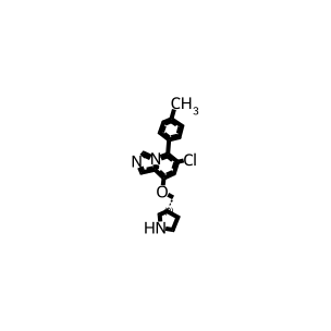 Cc1ccc(-c2c(Cl)cc(OC[C@@H]3CCNC3)c3cncn23)cc1